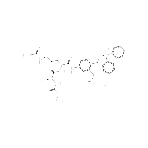 CC(C)[C@H](NC(=O)OC(C)(C)C)C(=O)N[C@@H](CCCNC(N)=O)C(=O)Nc1ccc(CO[Si](c2ccccc2)(c2ccccc2)C(C)(C)C)c(CN(C)C(=O)O)c1